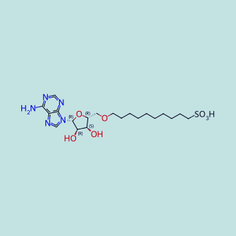 Nc1ncnc2c1ncn2[C@@H]1O[C@H](COCCCCCCCCCCS(=O)(=O)O)[C@@H](O)[C@H]1O